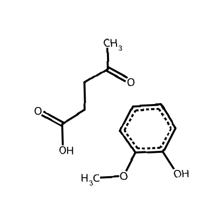 CC(=O)CCC(=O)O.COc1ccccc1O